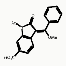 CO/C(=C1/C(=O)N(C(C)=O)c2cc(C(=O)O)ccc21)c1ccccc1